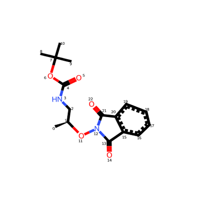 C[C@@H](CNC(=O)OC(C)(C)C)ON1C(=O)c2ccccc2C1=O